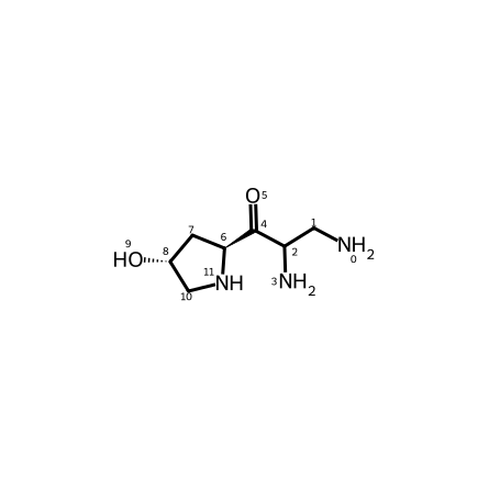 NCC(N)C(=O)[C@@H]1C[C@@H](O)CN1